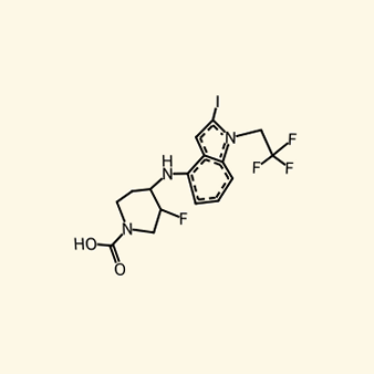 O=C(O)N1CCC(Nc2cccc3c2cc(I)n3CC(F)(F)F)C(F)C1